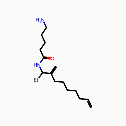 C=CCCCCCC(=C)C(CC)NC(=O)CCCCN